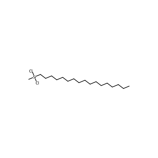 CCCCCCCCCCCCCCCCC[Si](C)(Cl)Cl